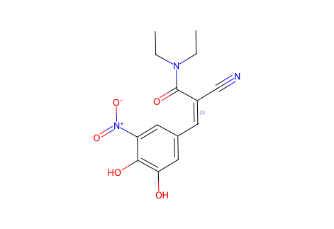 CCN(CC)C(=O)/C(C#N)=C\c1cc(O)c(O)c([N+](=O)[O-])c1